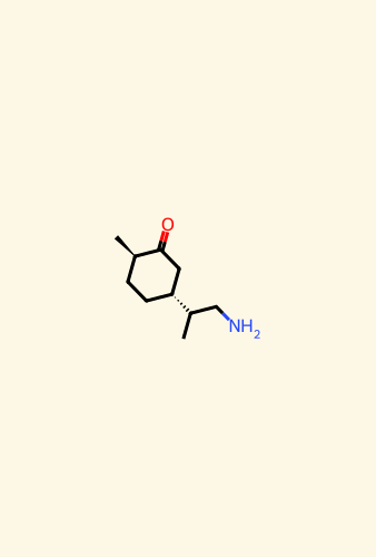 CC(CN)[C@@H]1CC[C@@H](C)C(=O)C1